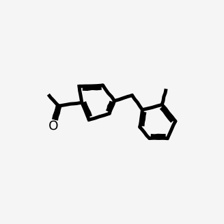 CC(=O)c1ccc(Cc2ccccc2C)cc1